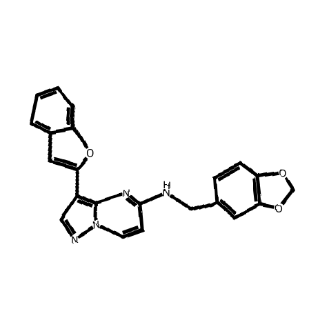 c1ccc2oc(-c3cnn4ccc(NCc5ccc6c(c5)OCO6)nc34)cc2c1